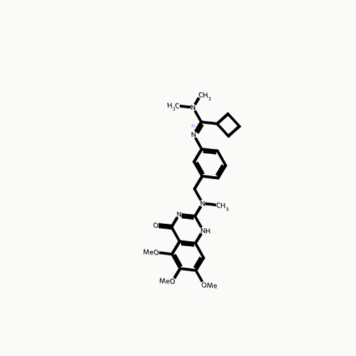 COc1cc2[nH]c(N(C)Cc3cccc(/N=C(\C4CCC4)N(C)C)c3)nc(=O)c2c(OC)c1OC